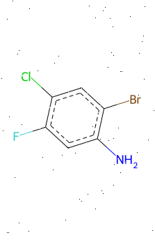 Nc1cc(F)c(Cl)cc1Br